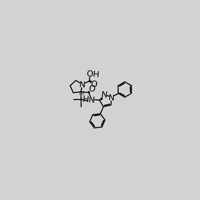 CC(C)(C)[C@@]1(C(=O)Nc2nn(-c3ccccc3)cc2-c2ccccc2)CCCN1C(=O)O